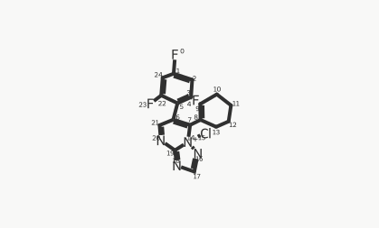 Fc1cc(F)c(C2=C(C3=CCCCC3)[N+]3(Cl)N=CN=C3N=C2)c(F)c1